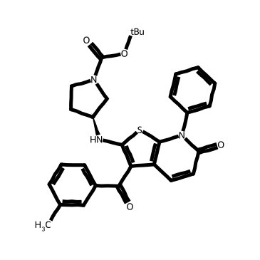 Cc1cccc(C(=O)c2c(N[C@H]3CCN(C(=O)OC(C)(C)C)C3)sc3c2ccc(=O)n3-c2ccccc2)c1